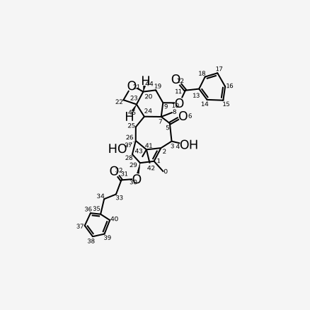 CC1=C2C(O)C(=O)C3(C)C(OC(=O)c4ccccc4)C[C@H]4OC[C@H]4C3C[C@](O)(C[C@@H]1OC(=O)CCc1ccccc1)C2(C)C